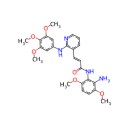 COc1ccc(OC)c(NC(=O)/C=C/c2cccnc2Nc2cc(OC)c(OC)c(OC)c2)c1N